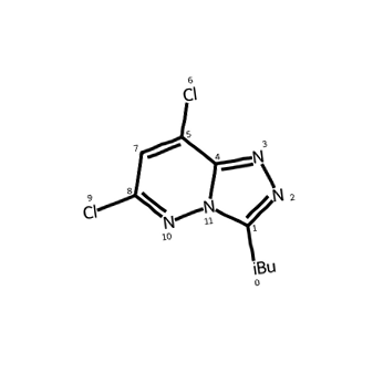 CCC(C)c1nnc2c(Cl)cc(Cl)nn12